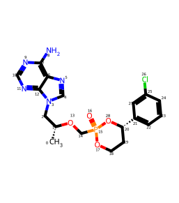 C[C@H](Cn1cnc2c(N)ncnc21)OCP1(=O)OCC[C@@H](c2cccc(Cl)c2)O1